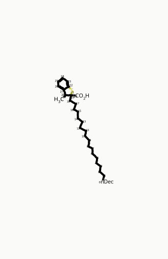 CCCCCCCCCCCCCCCCCCCCCCCCCCCCC1(C(=O)O)Sc2ccccc2C1C